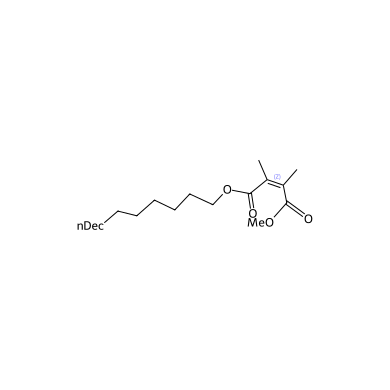 CCCCCCCCCCCCCCCCOC(=O)/C(C)=C(/C)C(=O)OC